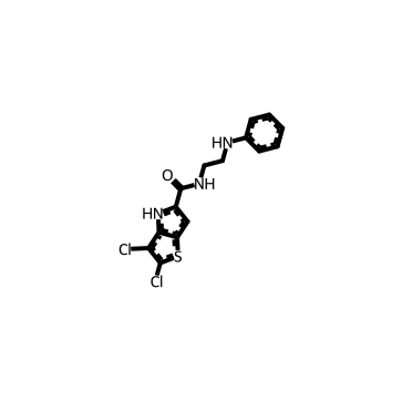 O=C(NCCNc1ccccc1)c1cc2sc(Cl)c(Cl)c2[nH]1